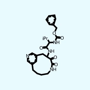 CC(C)C(NC(=O)OCc1ccccc1)C(=O)NC1Cc2cncc(c2)CCCCNC(=O)C1=O